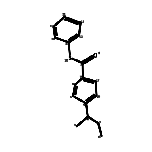 CCC(C)c1ccc(C(=O)Sc2ccccc2)cc1